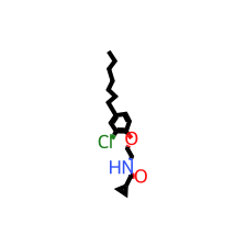 CCCCCCCc1ccc(OCCNC(=O)C2CC2)c(Cl)c1